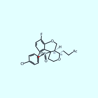 CC(=O)CC[C@@H]1OCCC2(S(=O)(=O)c3ccc(Cl)cc3)c3c(F)ccc(F)c3OC[C@@H]12